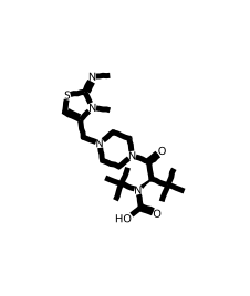 CN=c1scc(CN2CCN(C(=O)[C@H](N(C(=O)O)C(C)(C)C)C(C)(C)C)CC2)n1C